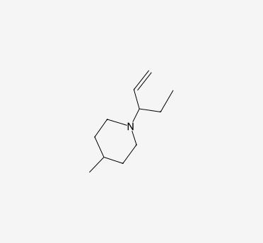 C=CC(CC)N1CCC(C)CC1